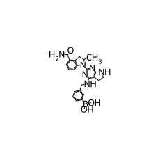 CC1Cc2c(C(N)=O)cccc2N1c1nc2c(c(NCc3cccc(B(O)O)c3)n1)CCN2